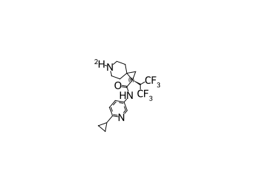 [2H]N1CCC2(CC1)C[C@@]2(C(=O)Nc1ccc(C2CC2)nc1)C(C(F)(F)F)C(F)(F)F